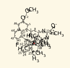 COCOc1cc(-c2cc3nc([S+](C)[O-])ncc3c(Nc3ccccc3)n2)c2c(C#C[Si](C(C)C)(C(C)C)C(C)C)c(F)ccc2c1